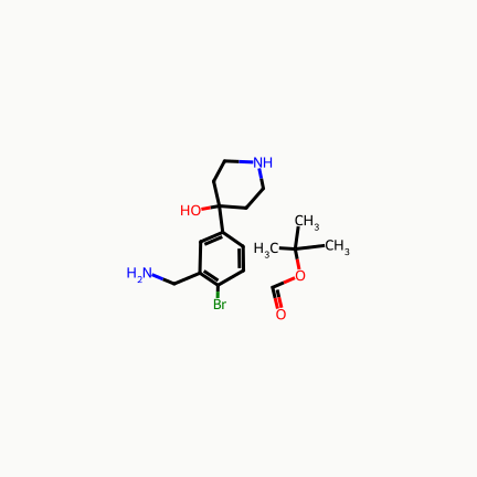 CC(C)(C)OC=O.NCc1cc(C2(O)CCNCC2)ccc1Br